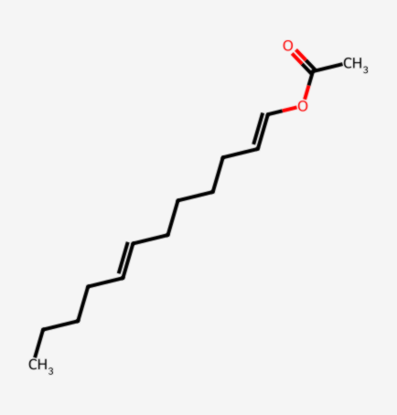 CCCCC=CCCCCC=COC(C)=O